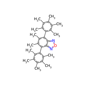 Cc1c(C)c(C)c(-c2c(C)c(C)c(-c3c(C)c(C)c(C)c(C)c3C)c3nonc23)c(C)c1C